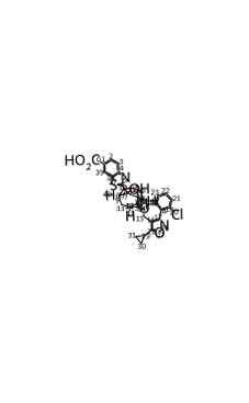 O=C(O)c1ccc2nc([C@@]3(O)[C@@H]4CC5CC(OCc6c(-c7c(Cl)cccc7Cl)noc6C6CC6)[C@@H](C4)C[C@@H]3C5)sc2c1